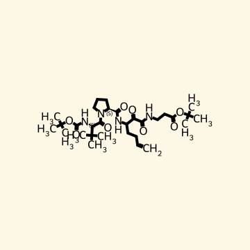 C=CCCC(NC(=O)[C@@H]1CCCN1C(=O)[C@@H](NC(=O)OC(C)(C)C)C(C)(C)C)C(=O)C(=O)NCCC(=O)OC(C)(C)C